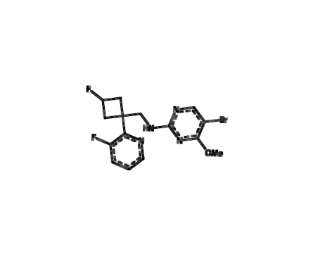 COc1nc(NCC2(c3ncccc3F)CC(F)C2)ncc1Br